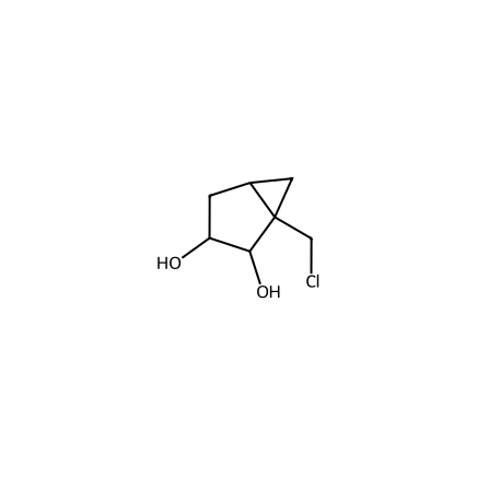 OC1CC2CC2(CCl)C1O